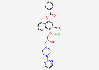 Cc1cc(OC(=O)c2ccccc2)c2ccccc2c1OCC(O)CN1CCN(c2ncccn2)CC1.Cl